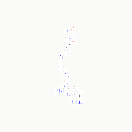 O=C1CC[C@H](N2Cc3cc(N4CCN(CC5CC6(CCN(CC7(COc8nc(N9CC%10CCC(C9)N%10)c9cnc(-c%10cc%11[nH]ncc%11cc%10C(F)(F)F)c(F)c9n8)CC7)CC6)C5)CC4)ccc3C2=O)C(=O)N1